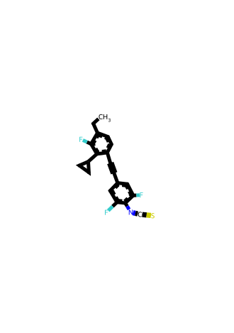 CCc1ccc(C#Cc2cc(F)c(N=C=S)c(F)c2)c(C2CC2)c1F